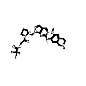 COc1cc2c(cc1Nc1ncc3cnn(C[C@@H]4CCCN4C(=O)COC(=O)C(F)(F)F)c3n1)CN(C)CC2